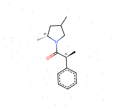 CC1C[C@@H](C)N(C(=O)[C@@H](C)c2ccccc2)C1